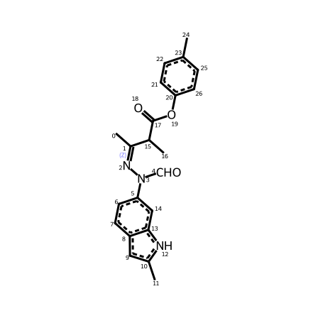 C/C(=N/N(C=O)c1ccc2cc(C)[nH]c2c1)C(C)C(=O)Oc1ccc(C)cc1